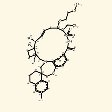 CC[C@@H]1[C@H](OCCOC)C/C=C/[C@H](O)[C@@H]2CC[C@H]2CN2C[C@@]3(CCCc4cc(Cl)ccc43)COc3ccc(cc32)C(=O)NS1(=O)=O